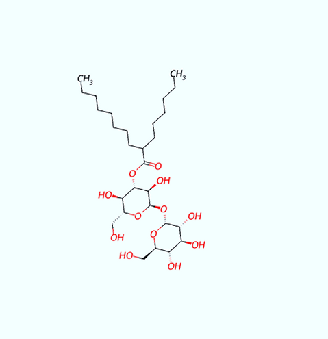 CCCCCCCCC(CCCCCC)C(=O)O[C@@H]1[C@@H](O)[C@@H](O[C@H]2O[C@H](CO)[C@@H](O)[C@H](O)[C@H]2O)O[C@H](CO)[C@H]1O